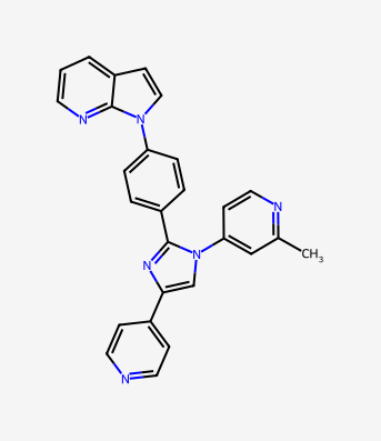 Cc1cc(-n2cc(-c3ccncc3)nc2-c2ccc(-n3ccc4cccnc43)cc2)ccn1